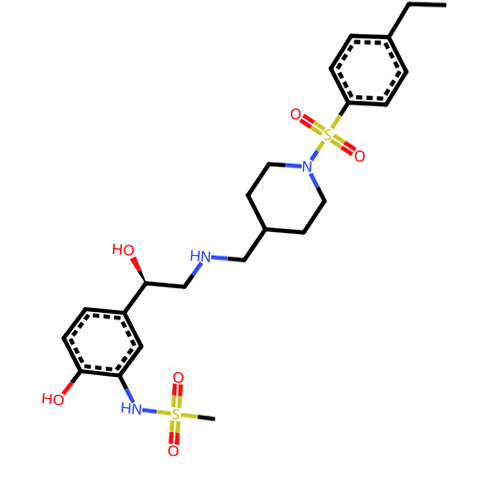 CCc1ccc(S(=O)(=O)N2CCC(CNC[C@H](O)c3ccc(O)c(NS(C)(=O)=O)c3)CC2)cc1